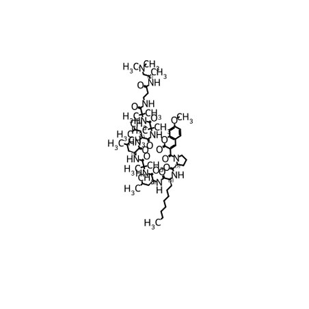 CCCCCCCC[C@H](NC(=O)[C@@H]1CCCN1C(=O)c1cc2ccc(OC)cc2oc1=O)C(=O)N[C@@H](CC(C)C)C(=O)NC(C)(C)C(=O)N[C@@H](CC(C)C)C(=O)N[C@@H](CC(C)C)C(=O)NC(C)(C)C(=O)NC(C)(C)C(=O)NCCC(=O)N[C@@H](C)CN(C)C